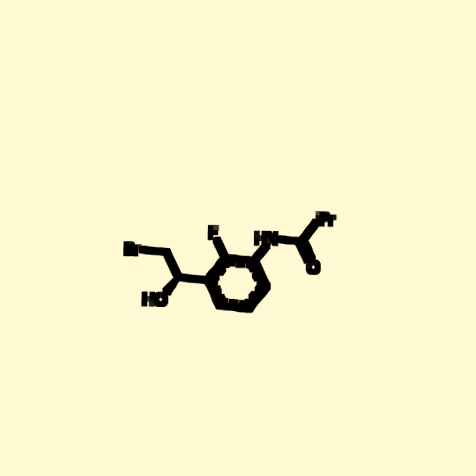 CC(C)C(=O)Nc1cccc([C@@H](O)CBr)c1F